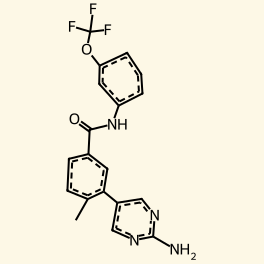 Cc1ccc(C(=O)Nc2cccc(OC(F)(F)F)c2)cc1-c1cnc(N)nc1